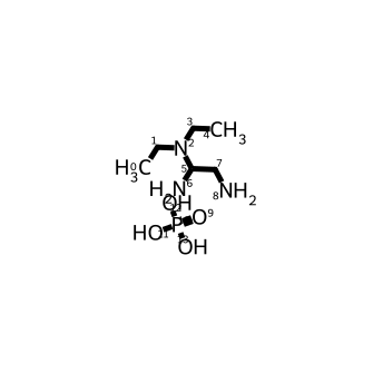 CCN(CC)C(N)CN.O=P(O)(O)O